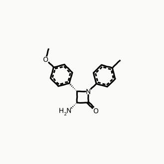 COc1ccc([C@H]2[C@@H](N)C(=O)N2c2ccc(C)cc2)cc1